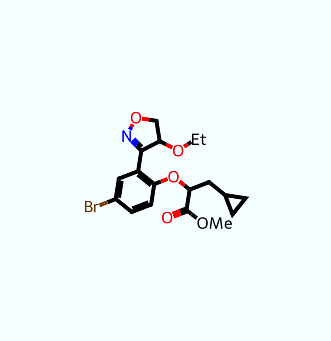 CCOC1CON=C1c1cc(Br)ccc1OC(CC1CC1)C(=O)OC